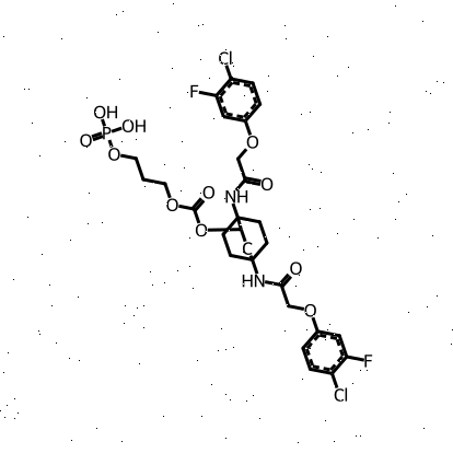 O=C(COc1ccc(Cl)c(F)c1)NC12CCC(NC(=O)COc3ccc(Cl)c(F)c3)(CC1)C(OC(=O)OCCCOP(=O)(O)O)C2